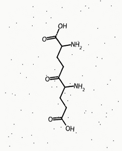 NC(CCC(=O)C(N)CCC(=O)O)C(=O)O